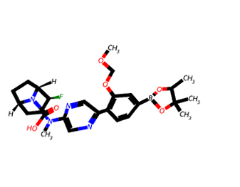 COCOc1cc(B2OC(C)C(C)(C)O2)ccc1-c1cnc(N(C)[C@H]2C[C@@H]3CC[C@H]([C@H]2F)N3C(=O)O)cn1